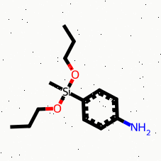 CCCO[Si](C)(OCCC)c1ccc(N)cc1